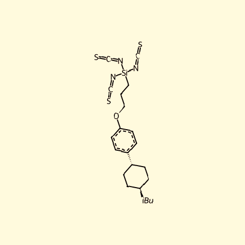 CCC(C)[C@H]1CC[C@H](c2ccc(OCCC[Si](N=C=S)(N=C=S)N=C=S)cc2)CC1